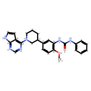 O=C(Nc1ccccc1)Nc1cc(C2CCCN(c3ncnc4[nH]ccc34)C2)ccc1OC(F)(F)F